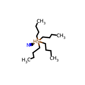 CCCC[SH](C#N)(CCCC)(CCCC)CCCC